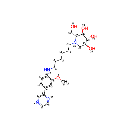 COc1cc(-c2cnccn2)ccc1NCCCCCCN1C[C@H](O)[C@@H](O)[C@H](O)[C@H]1CO